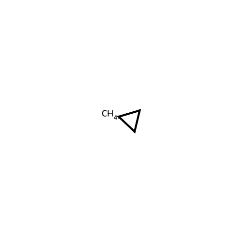 C.[CH]1CC1